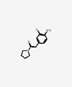 O=C(Cc1ccc(O)c(Cl)c1)N1CCCC1